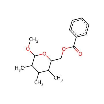 COC1OC(COC(=O)c2ccccc2)C(C)C(C)C1C